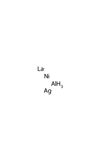 [Ag].[AlH3].[La].[Ni]